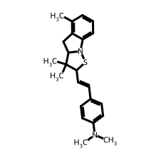 Cc1cccc2c1CC1N2SC(C=Cc2ccc(N(C)C)cc2)C1(C)C